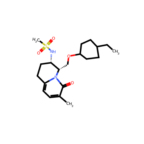 CCC1CCC(OC[C@H]2[C@@H](NS(C)(=O)=O)CCc3ccc(C)c(=O)n32)CC1